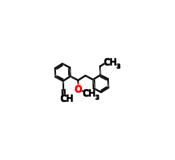 C#Cc1ccccc1C(Cc1ccccc1CC)OC